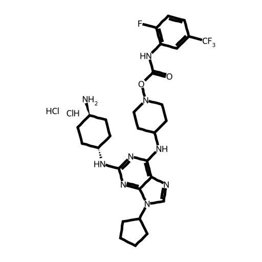 Cl.Cl.N[C@H]1CC[C@H](Nc2nc(NC3CCN(OC(=O)Nc4cc(C(F)(F)F)ccc4F)CC3)c3ncn(C4CCCC4)c3n2)CC1